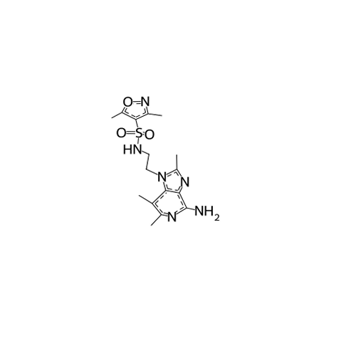 Cc1noc(C)c1S(=O)(=O)NCCn1c(C)nc2c(N)nc(C)c(C)c21